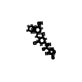 O=C(Nc1cc(Cl)c(Cc2ccc(O)c3c2C2CCC3C2)c(Cl)c1)c1noc(=O)[nH]1